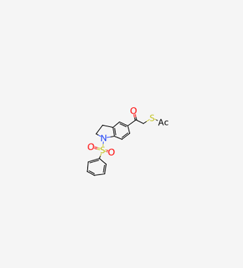 CC(=O)SCC(=O)c1ccc2c(c1)CCN2S(=O)(=O)c1ccccc1